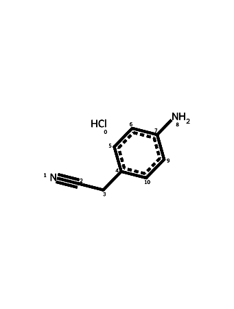 Cl.N#CCc1ccc(N)cc1